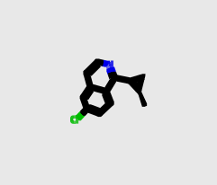 C[C@@H]1CC1c1nccc2cc(Cl)ccc12